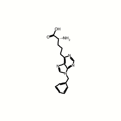 N[C@H](CCCc1ncnc2c1ncn2Cc1ccccc1)C(=O)O